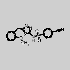 COc1ccccc1Cc1nnc(NS(=O)(=O)c2ccc(C#N)cc2)s1